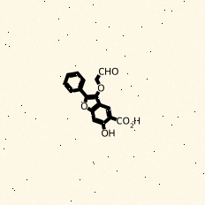 O=CCOc1c(-c2ccccc2)oc2cc(O)c(C(=O)O)cc12